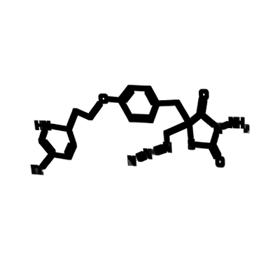 CCC1=CNC(CCOc2ccc(CC3(CN=[N+]=[N-])SC(=O)N(N)C3=O)cc2)C=C1